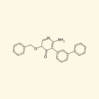 NC1=C(c2cccc(-c3ccccc3)c2)C(=O)C(OCc2ccccc2)C=N1